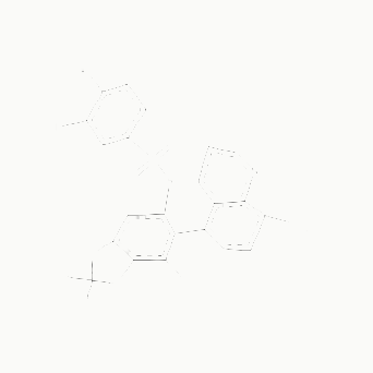 CC(C)(C)c1ccc(S(=O)(=O)Nc2cc3c(c(Cl)c2-c2ccc(C(=O)O)c4ncccc24)OC(F)(F)O3)cc1F